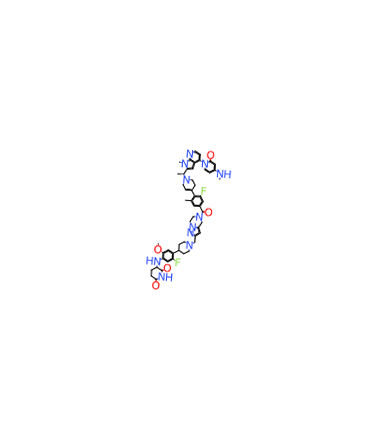 CNc1ccn(-c2ccnc3c2cc([C@H](C)N2CC=C(c4c(C)cc(C(=O)N5CCn6nc(CN7CCC(c8cc(OC)c(NC9CCC(=O)NC9=O)cc8F)CC7)cc6C5)cc4F)CC2)n3C)c(=O)c1